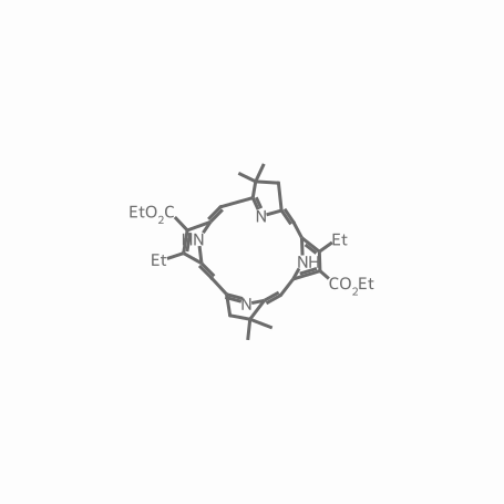 CCOC(=O)c1c(CC)c2cc3nc(cc4[nH]c(cc5nc(cc1[nH]2)C(C)(C)C5)c(CC)c4C(=O)OCC)C(C)(C)C3